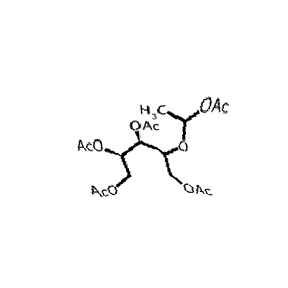 CC(=O)OCC(OC(C)OC(C)=O)[C@H](OC(C)=O)[C@@H](COC(C)=O)OC(C)=O